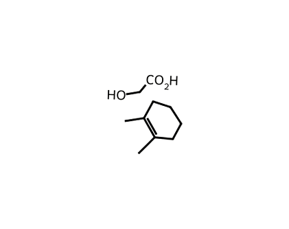 CC1=C(C)CCCC1.O=C(O)CO